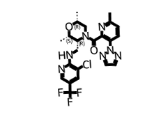 Cc1ccc(-n2nccn2)c(C(=O)N2C[C@@H](C)O[C@@H](C)[C@H]2CNc2ncc(C(F)(F)F)cc2Cl)n1